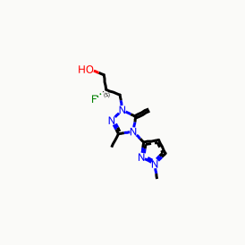 C=C1N(C[C@H](F)CO)N=C(C)N1c1ccn(C)n1